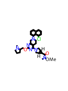 CON(C)C(=O)C1[C@H]2CN(c3nc(OCC4CCCN4C)nc4c3CCN(c3cccc5cccc(Cl)c35)C4)C[C@@H]12